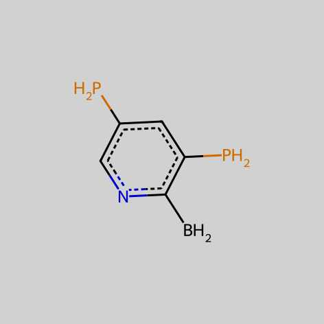 Bc1ncc(P)cc1P